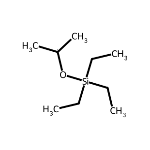 CC[Si](CC)(CC)O[C](C)C